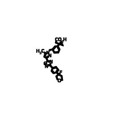 Cc1cc(-c2nc(-c3ccc(C4(F)CCOCC4)cc3)no2)nn1Cc1cccc(C2(CC(=O)O)CC2)c1